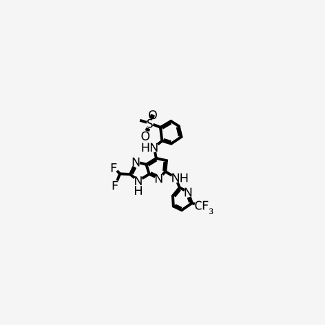 CS(=O)(=O)c1ccccc1Nc1cc(Nc2cccc(C(F)(F)F)n2)nc2[nH]c(C(F)F)nc12